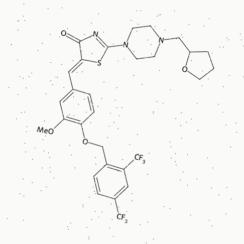 COc1cc(/C=C2\SC(N3CCN(CC4CCCO4)CC3)=NC2=O)ccc1OCc1ccc(C(F)(F)F)cc1C(F)(F)F